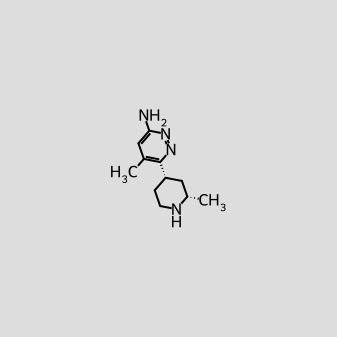 Cc1cc(N)nnc1[C@H]1CCN[C@@H](C)C1